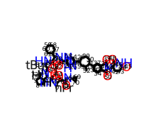 CCC[C@H](NC(=O)[C@@H]1[C@H]2CCC[C@H]2CN1C(=O)[C@@H](NC(=O)[C@@H](NC(=O)c1cnc(C2CCCC(c3ccc4c(c3)C(=O)N(C3CCC(=O)NC3=O)C4=O)C(C)C2)cn1)C1CCCCC1)C(C)(C)C)C(=O)C(=O)NC1CC1